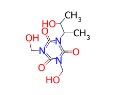 CC(O)C(C)n1c(=O)n(CO)c(=O)n(CO)c1=O